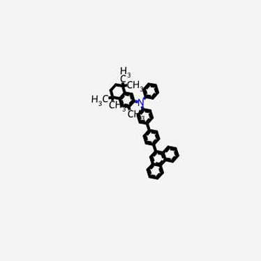 Cc1cc2c(cc1N(c1ccccc1)c1ccc(-c3ccc(-c4cc5ccccc5c5ccccc45)cc3)cc1)C(C)(C)CCC2(C)C